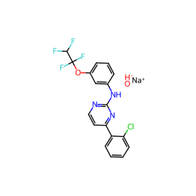 FC(F)C(F)(F)Oc1cccc(Nc2nccc(-c3ccccc3Cl)n2)c1.[Na+].[OH-]